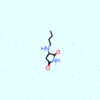 CCCCNC1CC(=O)NC1=O